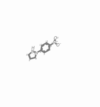 O=[N+]([O-])c1ccc(N2CCCN2)cc1